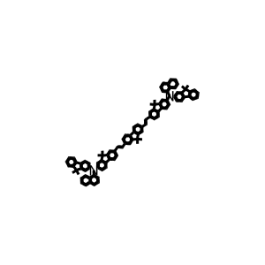 CC1(C)c2cc(/C=C/c3ccc4c(c3)C(C)(C)c3cc(N(c5ccc6c(c5)C(C)(C)c5ccccc5-6)c5cccc6ccccc56)ccc3-4)ccc2-c2ccc(/C=C/c3ccc4c(c3)C(C)(C)c3cc(N(c5ccc6c(c5)C(C)(C)c5ccccc5-6)c5cccc6ccccc56)ccc3-4)cc21